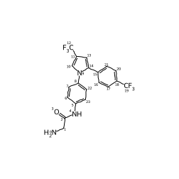 NCC(=O)Nc1ccc(-n2cc(C(F)(F)F)cc2-c2ccc(C(F)(F)F)cc2)cc1